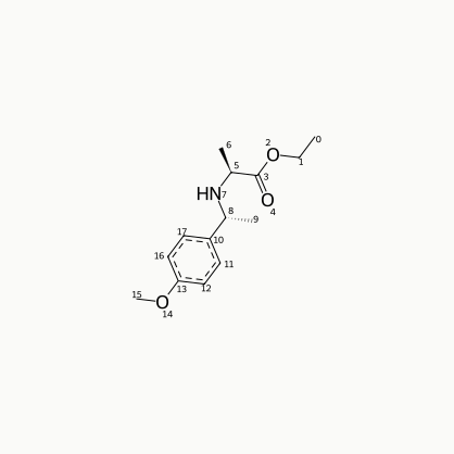 CCOC(=O)[C@H](C)N[C@H](C)c1ccc(OC)cc1